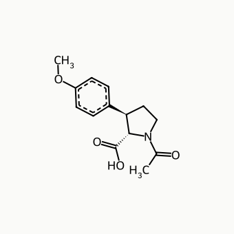 COc1ccc([C@H]2CCN(C(C)=O)[C@@H]2C(=O)O)cc1